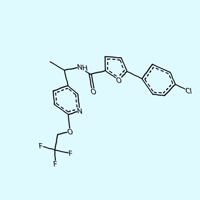 CC(NC(=O)c1ccc(-c2ccc(Cl)cc2)o1)c1ccc(OCC(F)(F)F)nc1